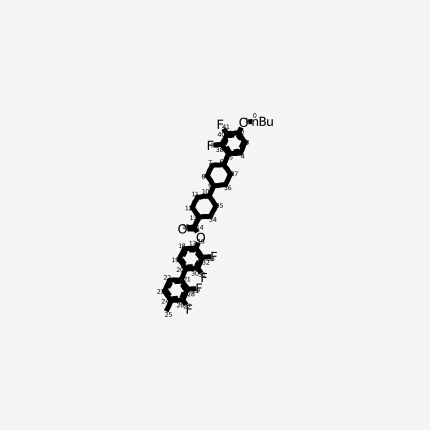 CCCCOc1ccc(C2CCC(C3CCC(C(=O)Oc4ccc(-c5ccc(C)c(F)c5F)c(F)c4F)CC3)CC2)c(F)c1F